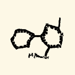 Cc1nnc(NN)c(-c2ccccc2)n1